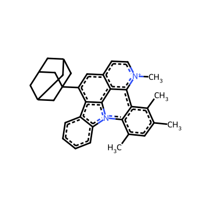 Cc1cc(C)c2c(c1C)c1c3c(cc[n+]1C)cc(C14CC5CC(CC(C5)C1)C4)c1c4ccccc4n2c13